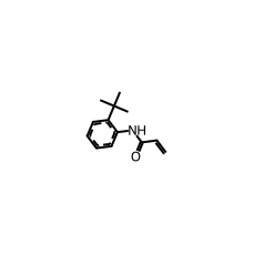 C=CC(=O)Nc1ccccc1C(C)(C)C